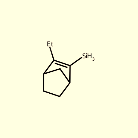 CCC1=C([SiH3])C2CCC1C2